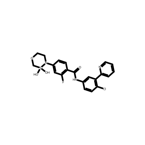 O=C(Nc1ccc(Cl)c(-c2ccccn2)c1)c1ccc(N2CCOCS2(O)O)cc1F